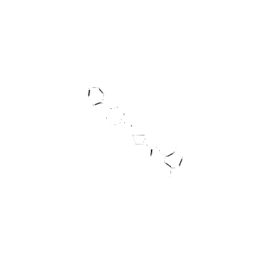 Cc1ccc(F)cc1NC(=O)N1CC(S(=O)(=O)N2CCC(c3ccc(F)cc3)CC2)C1